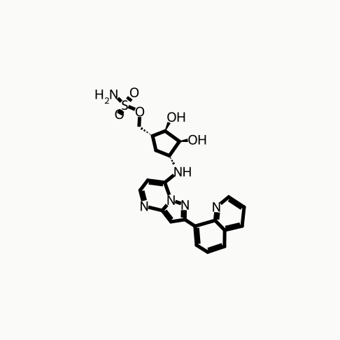 NS(=O)(=O)OC[C@H]1C[C@@H](Nc2ccnc3cc(-c4cccc5cccnc45)nn23)[C@H](O)[C@@H]1O